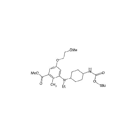 CCN(c1cc(OCCOC)cc(C(=O)OC)c1C)C1CCC(NC(=O)OC(C)(C)C)CC1